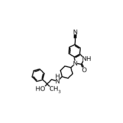 CC(O)(CNC1CCC(n2c(=O)[nH]c3cc(C#N)ccc32)CC1)c1ccccc1